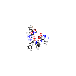 CN(C[C@@H](NC(=O)N[C@H](C(=O)N1C[C@H]2[C@@H]([C@H]1C(=O)NC(CC1CCC1)C(=O)C(N)=O)C2(C)C)C1Cc2ccccc2C1)C(C)(C)C)S(=O)(=O)c1cccs1